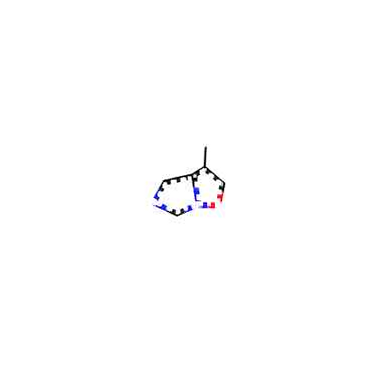 Cc1con2cncc12